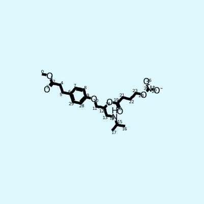 COC(=O)CCc1ccc(OCC(CNC(C)C)OC(=O)CCCO[N+](=O)[O-])cc1